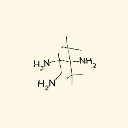 CC(C)(C)C(N)(C(C)(C)C)C(C)(N)CN